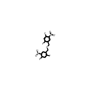 O=[N+]([O-])c1cc(COCc2cc([N+](=O)[O-])c(F)cc2F)c(F)cc1F